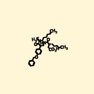 C=CCCCCN(C)C(=O)[C@@H](CNC(=O)[C@H](CCCC=C)CC(=O)O)c1ccc(OCc2ccccc2)cc1